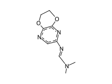 CN(C)/C=N/c1cnc2c(n1)OCCO2